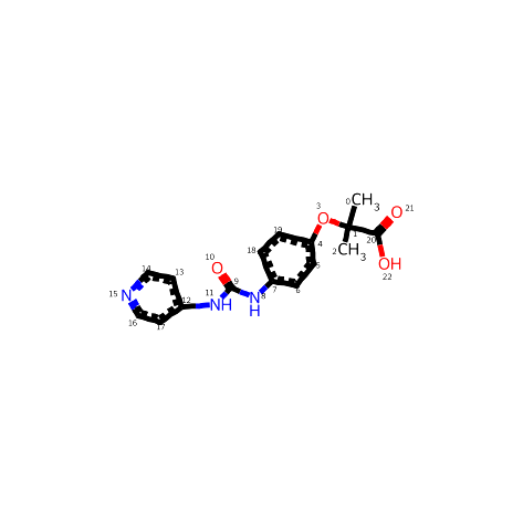 CC(C)(Oc1ccc(NC(=O)Nc2ccncc2)cc1)C(=O)O